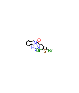 NC(Cc1cc(Br)sc1Br)C(=O)N1Cc2ccccc2C1